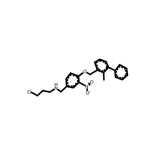 Cc1c(COc2ccc(CNCCCCl)cc2[N+](=O)[O-])cccc1-c1ccccc1